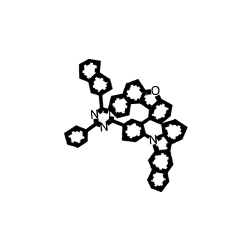 c1ccc(-c2nc(-c3ccc(-n4c5ccccc5c5cc6ccccc6cc54)c(-c4cccc5oc6ccc7ccccc7c6c45)c3)nc(-c3ccc4ccccc4c3)n2)cc1